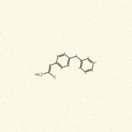 O=C(O)/C(Cl)=C/c1ccc(Cc2cccnc2)cc1